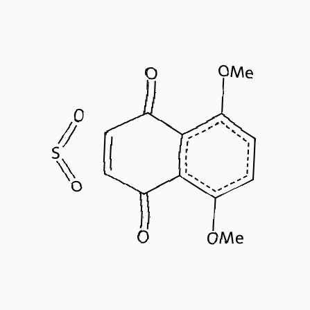 COc1ccc(OC)c2c1C(=O)C=CC2=O.O=S=O